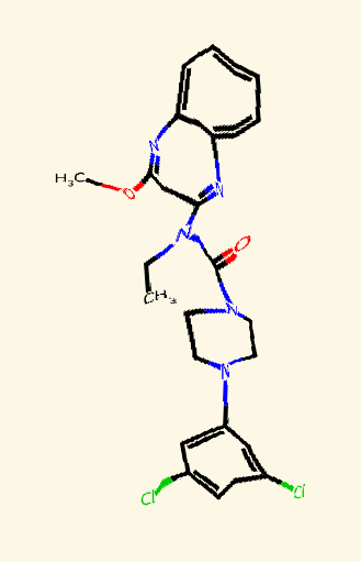 CCN(C(=O)N1CCN(c2cc(Cl)cc(Cl)c2)CC1)c1nc2ccccc2nc1OC